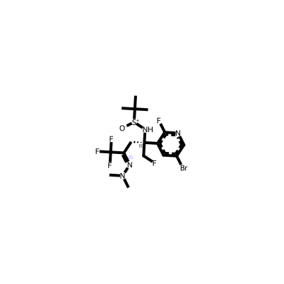 CN(C)/N=C(/C[C@](CF)(N[S+]([O-])C(C)(C)C)c1cc(Br)cnc1F)C(F)(F)F